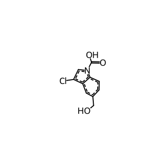 O=C(O)n1cc(Cl)c2cc(CO)ccc21